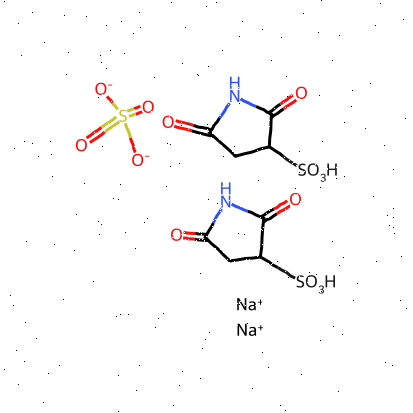 O=C1CC(S(=O)(=O)O)C(=O)N1.O=C1CC(S(=O)(=O)O)C(=O)N1.O=S(=O)([O-])[O-].[Na+].[Na+]